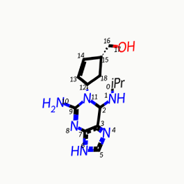 CC(C)NC1c2nc[nH]c2N=C(N)N1[C@@H]1C=C[C@H](CO)C1